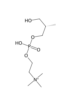 C[C@@H](CO)COP(=O)(O)OCC[N+](C)(C)C